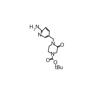 CC(C)(C)OC(=O)N1CCN(Cc2ccc(N)nc2)C(=O)C1